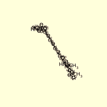 Cc1ccccc1C(=O)N1CCc2cc(-c3nc(NC(=O)Cc4cccc(OCCOCCOCCOCCOCCOCCOc5cccc6c5C(=O)N(C5CCC(=O)NC5=O)C6=O)c4)sc3C)ccc21